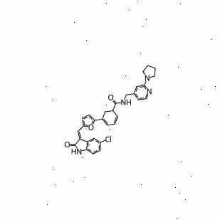 O=C1Nc2ccc(Cl)cc2/C1=C\c1ccc(C2=CC=CC(C(=O)NCc3ccnc(N4CCCC4)c3)C2)o1